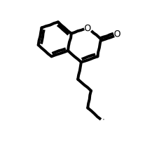 [CH2]CCCc1cc(=O)oc2ccccc12